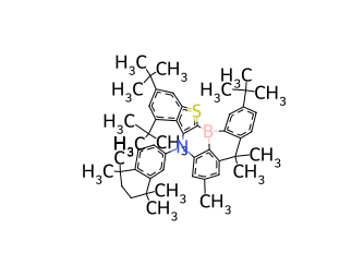 Cc1cc2c3c(c1)C(C)(C)c1ccc(C(C)(C)C)cc1B3c1sc3cc(C(C)(C)C)cc(C(C)(C)C)c3c1N2c1ccc2c(c1)C(C)(C)CCC2(C)C